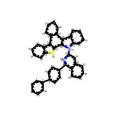 c1ccc(-c2ccc(-c3nc(-n4c5ccccc5c5c6ccccc6c6c7ccccc7sc6c54)cc4ccccc34)cc2)cc1